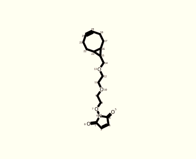 O=C1C=CC(=O)N1OCCOCCOCC1C2CCC#CCCC21